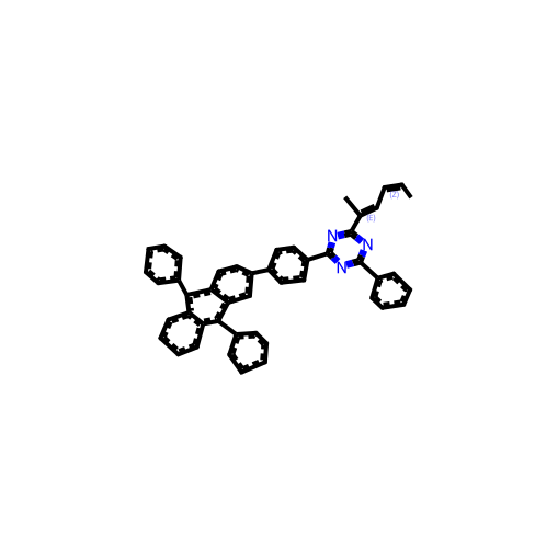 C/C=C\C=C(/C)c1nc(-c2ccccc2)nc(-c2ccc(-c3ccc4c(-c5ccccc5)c5ccccc5c(-c5ccccc5)c4c3)cc2)n1